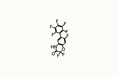 O=C1Nc2cc(-c3c(F)c(F)c(F)c(F)c3F)c(F)cc2OC1(F)F